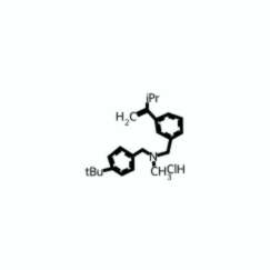 C=C(c1cccc(CN(C)Cc2ccc(C(C)(C)C)cc2)c1)C(C)C.Cl